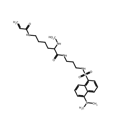 C=CC(=O)NCCCCC(NC(=O)O)C(=O)NCCCNS(=O)(=O)c1cccc2c(N(C)C)cccc12